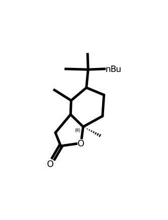 CCCCC(C)(C)C1CC[C@@]2(C)OC(=O)CC2C1C